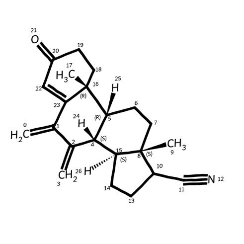 C=C1C(=C)[C@@H]2[C@@H](CC[C@]3(C)C(C#N)CC[C@@H]23)[C@@]2(C)CCC(=O)C=C12